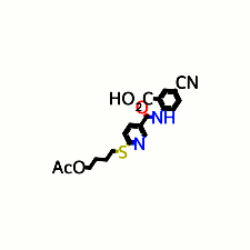 CC(=O)OCCCCSc1ccc(C(=O)Nc2ccc(C#N)cc2C(=O)O)cn1